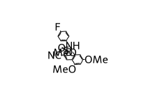 COc1cc(OC)c(/C=C(/C#N)S(=O)(=O)Nc2ccc(F)cc2)c(OC)c1